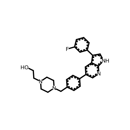 OCCN1CCN(Cc2ccc(-c3cnc4[nH]cc(-c5cccc(F)c5)c4c3)cc2)CC1